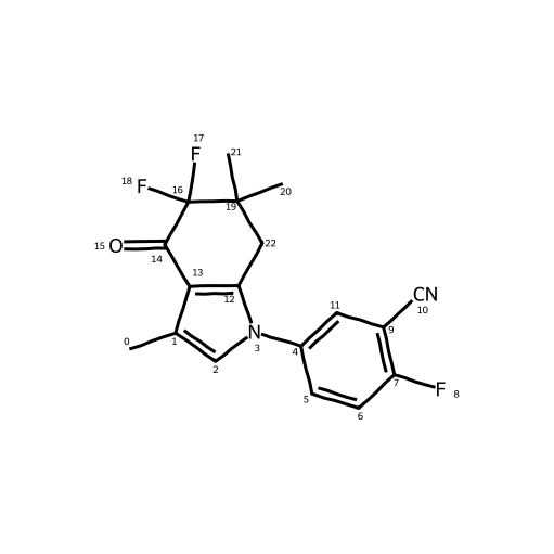 Cc1cn(-c2ccc(F)c(C#N)c2)c2c1C(=O)C(F)(F)C(C)(C)C2